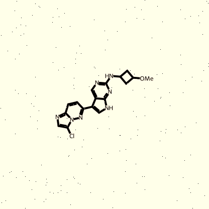 COC1CC(Nc2ncc3c(-c4ccc5ncc(Cl)n5n4)c[nH]c3n2)C1